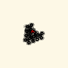 Cc1ccccc1N1c2cc3c(cc2B2c4sc(C(C)(C)C)cc4Oc4cc(N(c5ccccc5)c5ccccc5)cc1c42)B1c2cc4c(cc2N(c2ccccc2C)c2cc(N(c5ccccc5)c5ccccc5)cc(c21)N3c1ccccc1C)N(c1ccccc1C)c1cc(N(c2ccccc2)c2ccccc2)cc2c1B4c1sc(C(C)(C)C)cc1O2